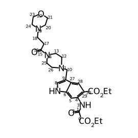 CCOC(=O)C(=O)Nc1cc2[nH]cc(CN3CCN(C(=O)CCN4CCOCC4)CC3)c2cc1C(=O)OCC